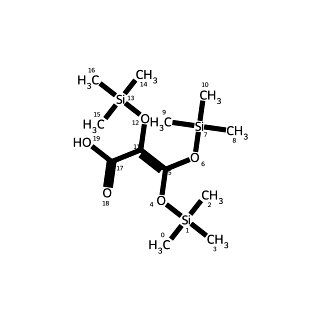 C[Si](C)(C)OC(O[Si](C)(C)C)=C(O[Si](C)(C)C)C(=O)O